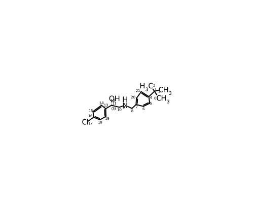 CC(C)(C)c1ccc(CNC[C@@H](O)c2ccc(Cl)cc2)cc1